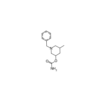 CC1CC(OC(N)=O)CN(Cc2ccccc2)C1